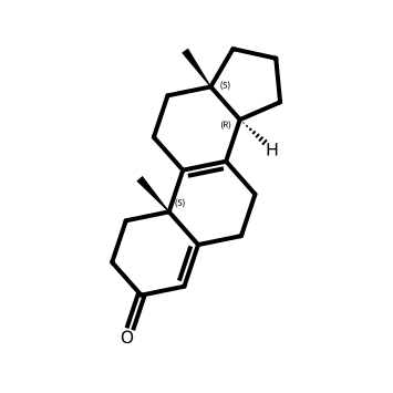 C[C@]12CCC(=O)C=C1CCC1=C2CC[C@]2(C)CCC[C@@H]12